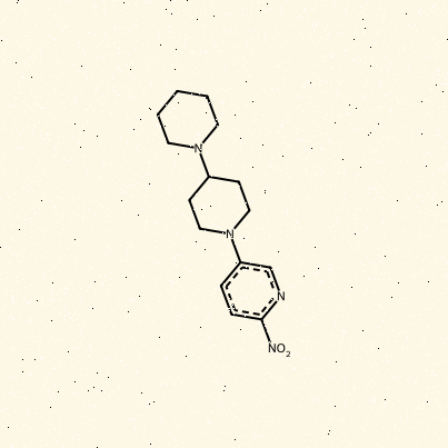 O=[N+]([O-])c1ccc(N2CCC(N3CCCCC3)CC2)cn1